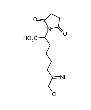 N=C(CCl)CCCCC(C(=O)O)N1C(=O)CCC1=O